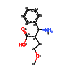 COCCC(C(=O)O)[C@H](N)c1ccccc1